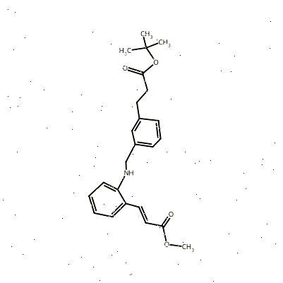 COC(=O)/C=C/c1ccccc1NCc1cccc(CCC(=O)OC(C)(C)C)c1